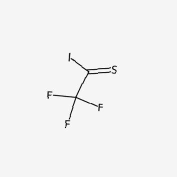 FC(F)(F)C(=S)I